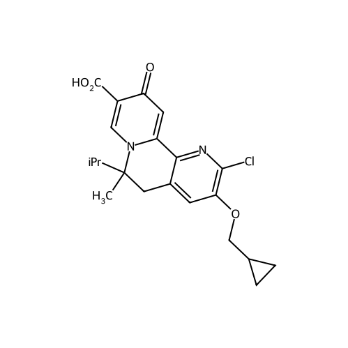 CC(C)C1(C)Cc2cc(OCC3CC3)c(Cl)nc2-c2cc(=O)c(C(=O)O)cn21